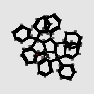 CP1(=O)N([Si](c2ccccc2)(c2ccccc2)c2ccccc2)[C@H](c2ccccc2)[C@@H](c2ccccc2)N1[Si](c1ccccc1)(c1ccccc1)c1ccccc1